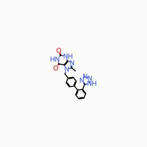 Cc1nc2[nH]c(=O)[nH]c(=O)c2n1Cc1ccc(-c2ccccc2-c2nnn[nH]2)cc1